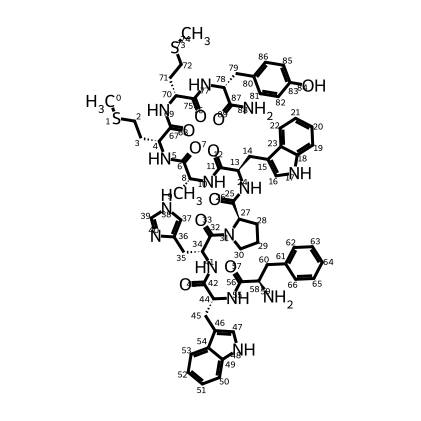 CSCC[C@@H](NC(=O)[C@@H](C)NC(=O)[C@@H](Cc1c[nH]c2ccccc12)NC(=O)[C@H]1CCCN1C(=O)[C@@H](Cc1c[nH]cn1)NC(=O)[C@@H](Cc1c[nH]c2ccccc12)NC(=O)[C@H](N)Cc1ccccc1)C(=O)N[C@H](CCSC)C(=O)N[C@H](Cc1ccc(O)cc1)C(N)=O